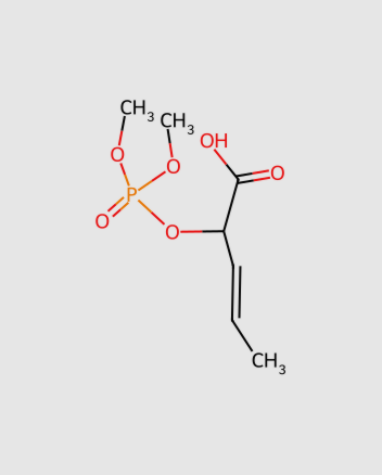 CC=CC(OP(=O)(OC)OC)C(=O)O